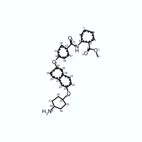 COC(=O)c1ccccc1NC(=O)c1ccc(Oc2ccc3cc(OC4CCC(N)CC4)ccc3c2)cc1